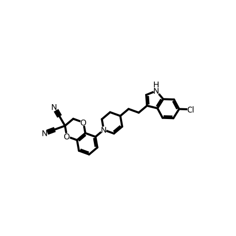 N#CC1(C#N)COc2c(cccc2N2C=CC(CCc3c[nH]c4cc(Cl)ccc34)CC2)O1